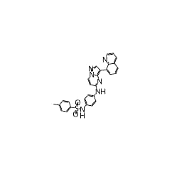 Cc1ccc(S(=O)(=O)Nc2ccc(Nc3ccn4ncc(-c5cccc6cccnc56)c4n3)cc2)cc1